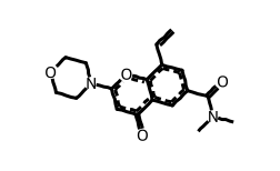 C=Cc1cc(C(=O)N(C)C)cc2c(=O)cc(N3CCOCC3)oc12